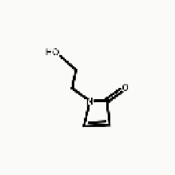 O=C1C=CN1CCO